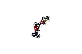 c1cc(-c2ccc3c(c2)oc2c(-c4cccc5c4sc4ccccc45)cccc23)c2c(c1)oc1c2ccc2c3ccc(-n4c5ccccc5c5ccccc54)cc3oc21